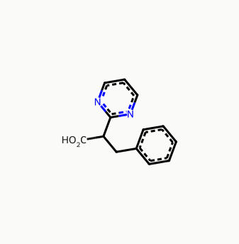 O=C(O)C(Cc1ccccc1)c1ncccn1